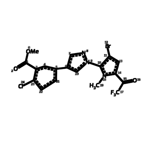 COC(=O)c1cc(-c2cnn(-c3c(Br)cc(C(=O)C(F)(F)F)n3C)c2)ccc1Cl